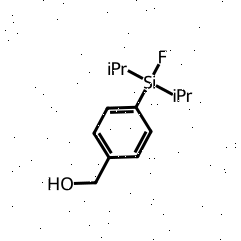 CC(C)[Si](F)(c1ccc(CO)cc1)C(C)C